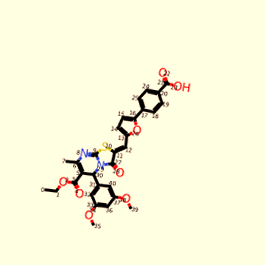 CCOC(=O)C1=C(C)N=c2s/c(=C\c3ccc(-c4ccc(C(=O)O)cc4)o3)c(=O)n2C1c1cc(OC)cc(OC)c1